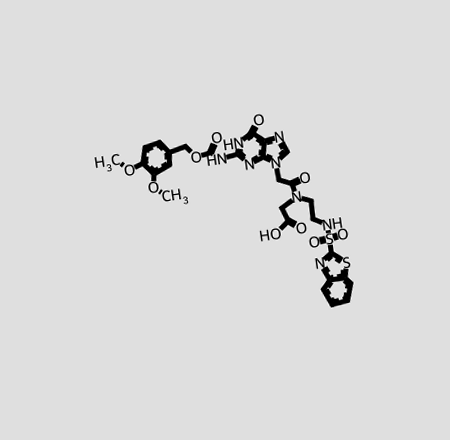 COc1ccc(COC(=O)Nc2nc3c(ncn3CC(=O)N(CCNS(=O)(=O)c3nc4ccccc4s3)CC(=O)O)c(=O)[nH]2)cc1OC